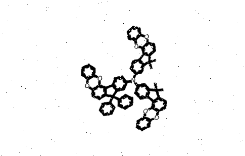 CC1(C)c2cc(N(c3ccc4c(c3)C(C)(C)c3ccc5c(c3-4)Oc3ccccc3O5)c3ccc4c(c3)C(c3ccccc3)(c3ccccc3)c3ccc5c(c3-4)Oc3ccccc3O5)ccc2-c2c1ccc1c2Oc2ccccc2O1